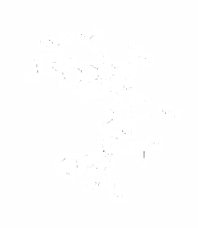 CC(C)[C@H](NC(=O)[C@H](CCC(N)=O)NC(=O)[C@H](CCC(=O)O)NC(=O)[C@H](CO)NC(=O)[C@H](CCCCN)NC(=O)[C@H](CCC(=O)O)NC(=O)[C@H](Cc1ccccc1)NC(=O)[C@@H](N)CS)C(=O)N[C@@H](CCC(N)=O)C(=O)NCC(=O)O